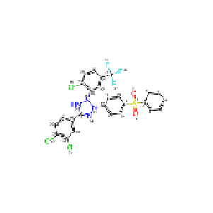 O=S(=O)(c1ccccc1)c1ccc(N2N=C(c3ccc(Cl)c(Cl)c3)NN2c2cc(C(F)(F)F)ccc2Cl)cc1